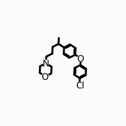 CC(CCCN1CCOCC1)c1ccc(Oc2ccc(Cl)cc2)cc1